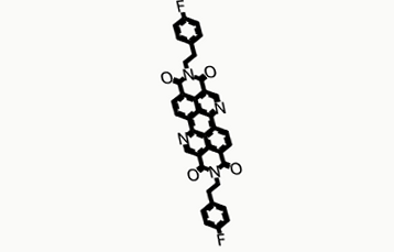 O=C1c2ccc3c4ncc5c6c(ccc(c7ncc(c2c37)C(=O)N1CCc1ccc(F)cc1)c64)C(=O)N(CCc1ccc(F)cc1)C5=O